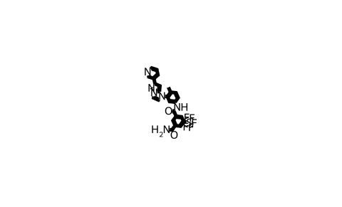 Cc1ccc(NC(=O)c2cc(C(N)=O)cc(S(F)(F)(F)(F)F)c2)cc1-n1ccn2nc(-c3cccnc3)cc12